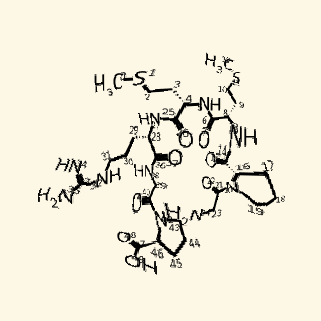 CSCC[C@H](NC(=O)[C@H](CCSC)NC(=O)[C@@H]1CCCN1C(=O)CN)C(=O)N[C@@H](CCCNC(=N)N)C(=O)NCC(=O)N1CCC[C@H]1C(=O)O